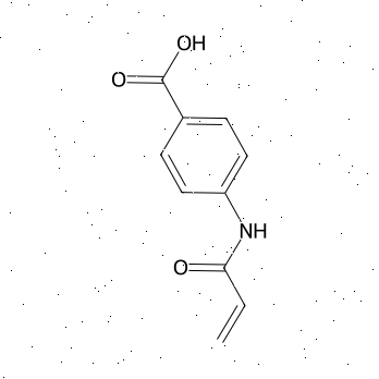 C=CC(=O)Nc1ccc(C(=O)O)cc1